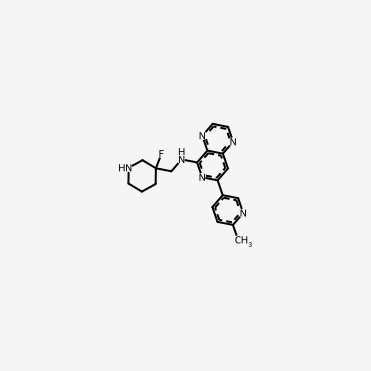 Cc1ccc(-c2cc3nccnc3c(NCC3(F)CCCNC3)n2)cn1